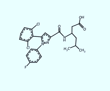 CC(C)CC(CC(=O)O)NC(=O)c1cc(-c2c(Cl)cccc2Cl)n(-c2ccc(F)cc2)n1